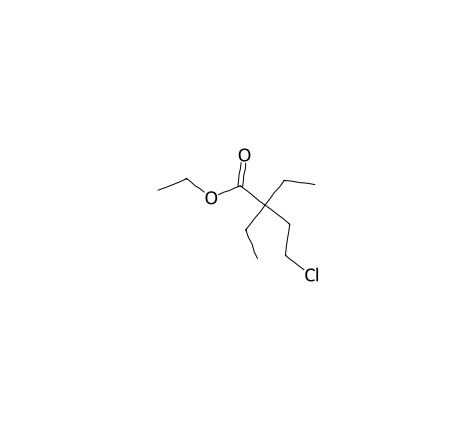 CCOC(=O)C(CC)(CC)CCCl